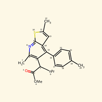 CCCC(C(=O)OC)c1c(C)nc2sc(C)cc2c1-c1ccc(C)cc1